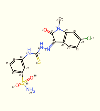 CCN1C(=O)C(=NNC(=S)Nc2cccc(S(N)(=O)=O)c2)c2ccc(Cl)cc21